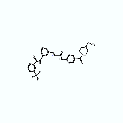 CCN1CCN(C(=O)c2ccc(NC(=O)/C=C/c3cccc(NC(=O)c4cccc(C(F)(F)F)c4)c3)nc2)CC1